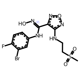 CS(=O)(=O)CCNc1nonc1/C(=N/O)Nc1ccc(F)c(Br)c1